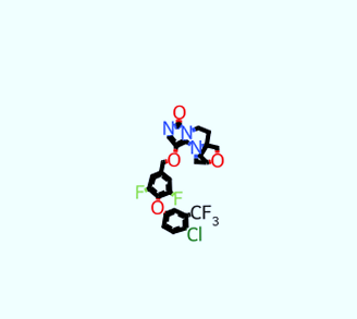 O=c1ncc(OCc2cc(F)c(Oc3ccc(Cl)c(C(F)(F)F)c3)c(F)c2)c2n1CCC13COC(CN21)C3